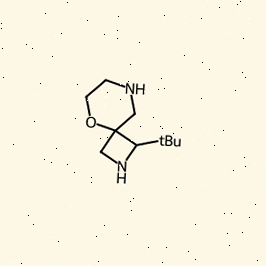 CC(C)(C)C1NCC12CNCCO2